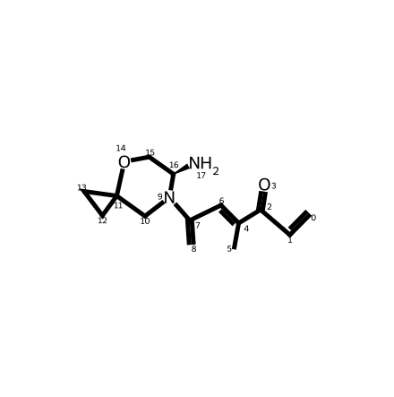 C=CC(=O)/C(C)=C/C(=C)N1CC2(CC2)OC[C@H]1N